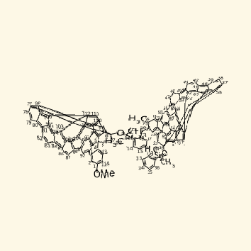 COc1ccc(C23C=CC4(O[Si](C)(C)c5ccccc5Cc5cc(C67C=CC8(O[Si](C)(C)c9ccccc9)c9ccc%10c%11ccc%12c%13ccc%14c%15ccc6c6c%16c7c8c7c9c%10c8c%11c%12c9c%13c%14c(c%156)c6c%16c7c8c96)ccc5C)c5ccc6c7ccc8c9ccc%10c%11ccc2c2c%12c3c4c3c5c6c4c7c8c5c9c%10c(c%112)c2c%12c3c4c52)cc1